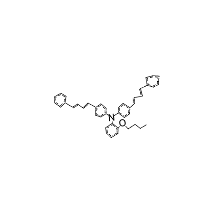 CCCCOc1ccccc1N(c1ccc(/C=C/C=C/c2ccccc2)cc1)c1ccc(/C=C/C=C/c2ccccc2)cc1